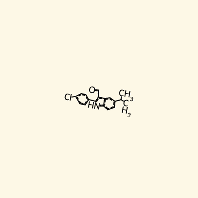 CC(C)c1ccc2[nH]c(-c3ccc(Cl)cc3)c(C=O)c2c1